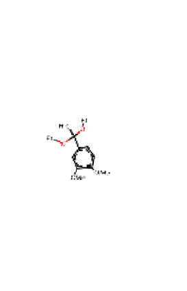 CCOC(C)(OCC)c1ccc(OC)c(OC)c1